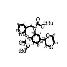 CC(C)(C)OC(=O)N1Cc2cccnc2N(C(=O)OC(C)(C)C)c2ccc(C3COC=CO3)cc21